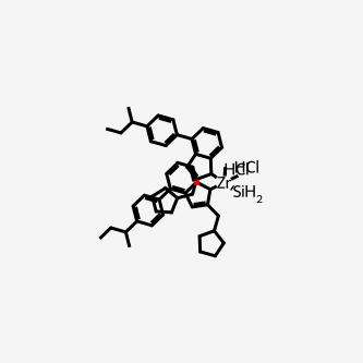 CCC(C)c1ccc(-c2cccc3c2C=C(CC2CCCC2)[CH]3[Zr]([CH3])([CH3])(=[SiH2])[CH]2C(CC3CCCC3)=Cc3c(-c4ccc(C(C)CC)cc4)cccc32)cc1.Cl.Cl